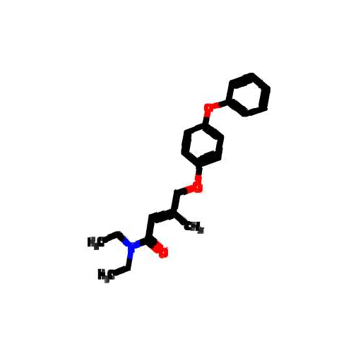 CCN(CC)C(=O)/C=C(\C)COc1ccc(Oc2ccccc2)cc1